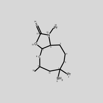 BC1(C(C)C)CCCC2C(CC(C)C1)OC(=S)N2C(C)C